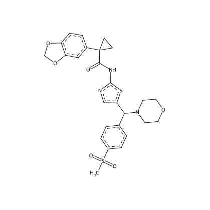 CS(=O)(=O)c1ccc(C(c2cnc(NC(=O)C3(c4ccc5c(c4)OCO5)CC3)s2)N2CCOCC2)cc1